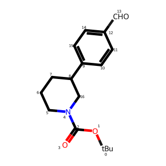 CC(C)(C)OC(=O)N1CCCC(c2ccc(C=O)cc2)C1